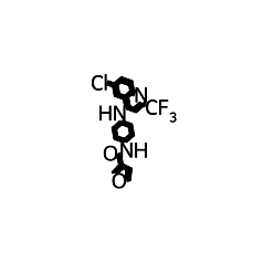 O=C(NC1CCC(Nc2cc(C(F)(F)F)nc3ccc(Cl)cc23)CC1)c1ccoc1